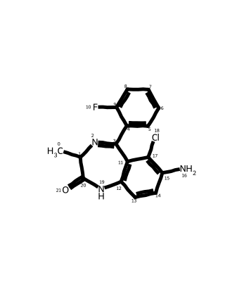 CC1N=C(c2ccccc2F)c2c(ccc(N)c2Cl)NC1=O